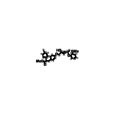 COC(=O)C(=Cc1ccc(OCC(O)CNC(C)Oc2ccccc2OC)cc1)c1ccc(C)cc1